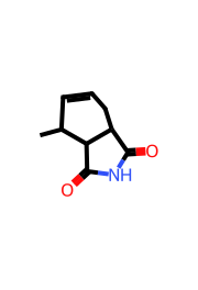 CC1C=CCC2C(=O)NC(=O)C12